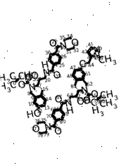 CC(C)(C)OC(=O)N1Cc2cc(O)ccc2C[C@H]1[C@H](O)CNC(=O)c1ccc(C(=O)N2CCOCC2)cc1.Cn1nccc1COc1ccc2c(c1)CN(C(=O)OC(C)(C)C)[C@H]([C@H](O)CNC(=O)c1ccc(C(=O)N3CCOCC3)cc1)C2